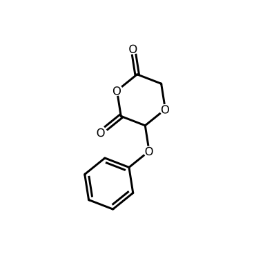 O=C1COC(Oc2ccccc2)C(=O)O1